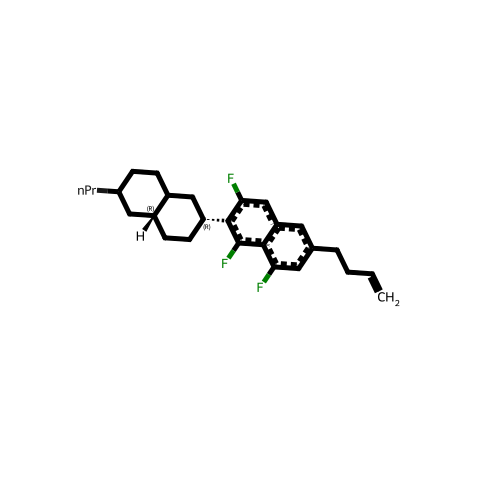 C=CCCc1cc(F)c2c(F)c([C@@H]3CC[C@@H]4CC(CCC)CCC4C3)c(F)cc2c1